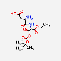 CCOC(=O)C(NC(=O)C(N)CC(=O)O)C(=O)OC(=O)OC(C)(C)C